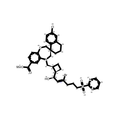 COC(=O)c1ccc2c(c1)N(C[C@H]1CC[C@H]1[C@H](O)/C=C(\Br)CCCS(=O)(=O)c1ncccn1)C[C@@]1(CCCc3cc(Cl)ccc31)CO2